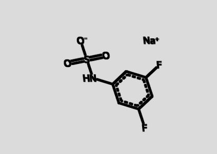 O=S(=O)([O-])Nc1cc(F)cc(F)c1.[Na+]